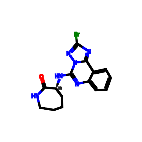 O=C1NCCCC[C@H]1Nc1nc2ccccc2c2nc(Br)nn12